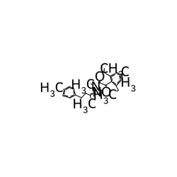 CCc1cc(C)cc(CC)c1C(=O)C(=O)N(C)N=C(C)CCc1ccc(C)cc1